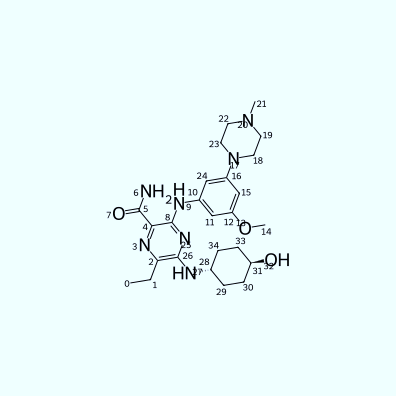 CCc1nc(C(N)=O)c(Nc2cc(OC)cc(N3CCN(C)CC3)c2)nc1N[C@H]1CC[C@H](O)CC1